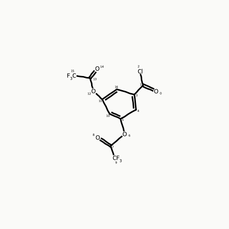 O=C(Cl)c1cc(OC(=O)C(F)(F)F)cc(OC(=O)C(F)(F)F)c1